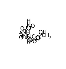 CC(O)c1ccc(Oc2ccc(CNC(=O)C3(NC(=O)C4CCC(=O)NC4)CC3)nc2)c(C(F)(F)F)c1